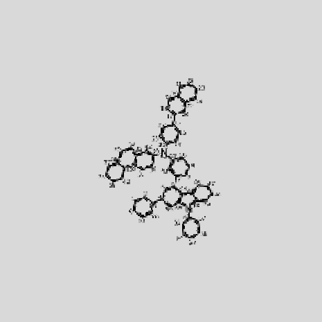 c1ccc(-c2cc(-c3cccc(N(c4ccc(-c5ccc6ccccc6c5)cc4)c4ccc5c(ccc6ccccc65)c4)c3)c3c4ccccc4n(-c4ccccc4)c3c2)cc1